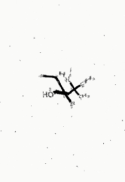 CCC(O)(CF)C(C)(C)C